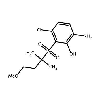 COCCC(C)(C)S(=O)(=O)c1c(Cl)ccc(N)c1O